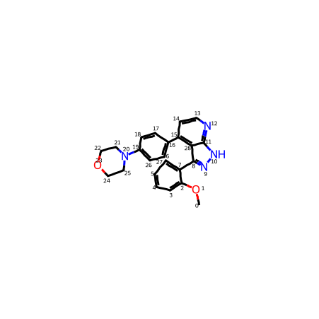 COc1ccccc1-c1n[nH]c2nccc(-c3ccc(N4CCOCC4)cc3)c12